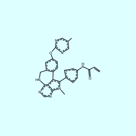 C=CC(=O)Nc1ccc(-c2c3c4c(ncnc4n2C)NCc2cc(Oc4ncc(C)cn4)ccc2-3)cc1